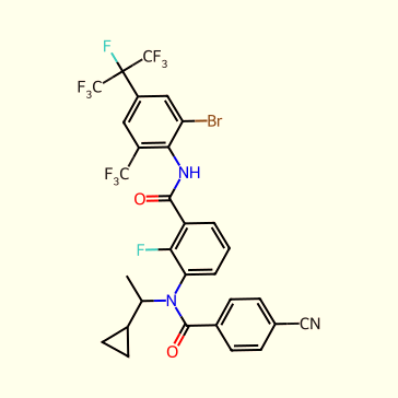 CC(C1CC1)N(C(=O)c1ccc(C#N)cc1)c1cccc(C(=O)Nc2c(Br)cc(C(F)(C(F)(F)F)C(F)(F)F)cc2C(F)(F)F)c1F